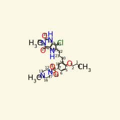 CCCOc1ccc(S(=O)(=O)N2CCN(C)CC2)cc1CCCc1[nH]c2c(=O)n(C)c(=O)[nH]c2c1Cl